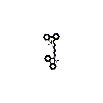 CN1/C(=C/C=C/C=C/c2c3ccccc3c3ccccc3[n+]2C)c2ccccc2-c2ccccc21